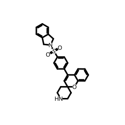 O=S(=O)(c1ccc(C2=CC3(CCNCC3)Oc3ccccc32)cc1)N1Cc2ccccc2C1